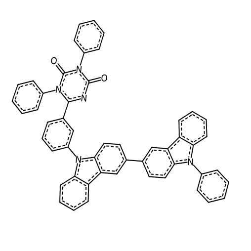 O=c1nc(-c2cccc(-n3c4ccccc4c4cc(-c5ccc6c(c5)c5ccccc5n6-c5ccccc5)ccc43)c2)n(-c2ccccc2)c(=O)n1-c1ccccc1